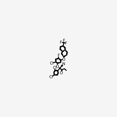 CCC(=O)C(C#N)(Oc1cc(Oc2ccc3cc(C(F)(F)F)ccc3c2)c(F)cc1Cl)c1ccc(Cl)cc1Cl